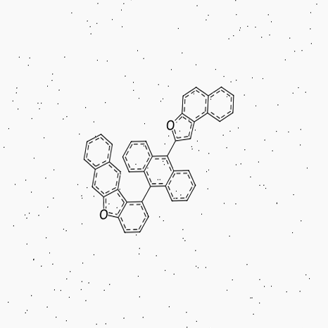 c1ccc2cc3c(cc2c1)oc1cccc(-c2c4ccccc4c(-c4cc5c(ccc6ccccc65)o4)c4ccccc24)c13